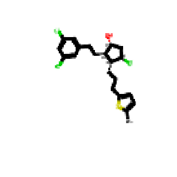 CC(=O)c1ccc(CCC[C@@H]2[C@@H](CCc3cc(Cl)cc(Cl)c3)[C@H](O)C[C@H]2Cl)s1